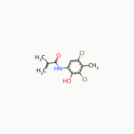 C=C(C)C(=O)Nc1cc(Cl)c(C)c(Cl)c1O